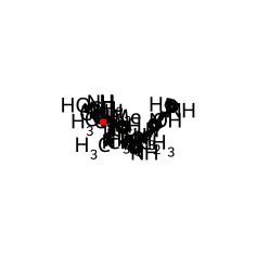 C1CNCCN1.CC(C)(N)CO.CC(O)CN.CC1(N)CC1.CN(C)CCN1CCNCC1.CN(C)CCN1CCNCC1N1CCCCC1.CNC.OCCC1CCCCN1